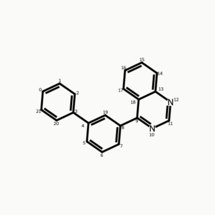 c1ccc(-c2cccc(-c3ncnc4ccccc34)c2)cc1